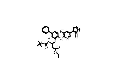 CCOC(=O)CC(Cc1cc(-c2ccccc2)ccc1Oc1ncc(-c2ccn[nH]2)cc1F)NC(=O)OC(C)(C)C